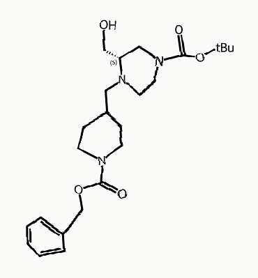 CC(C)(C)OC(=O)N1CCN(CC2CCN(C(=O)OCc3ccccc3)CC2)[C@H](CO)C1